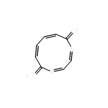 C=c1ccccc(=C)nccn1